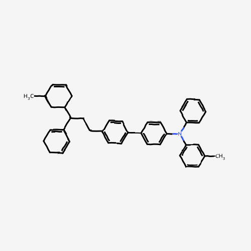 Cc1cccc(N(c2ccccc2)c2ccc(-c3ccc(CCC(C4=CCCC=C4)C4CC=CC(C)C4)cc3)cc2)c1